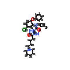 CC1c2ccccc2Oc2ccc(Cl)cc2N1C(=O)NNC(=O)CCCCN1CCCCC1